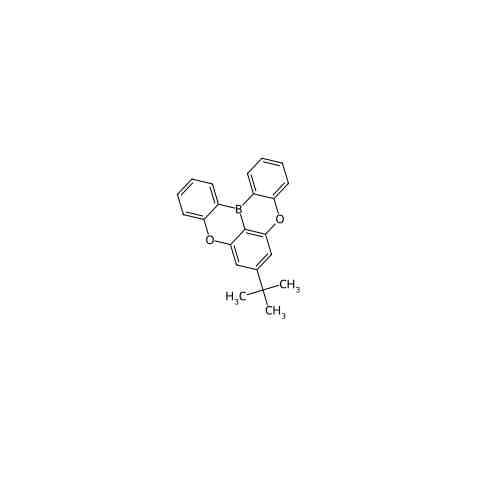 CC(C)(C)c1cc2c3c(c1)Oc1ccccc1B3c1ccccc1O2